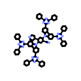 N#Cc1cc(-n2c3ccc(-c4nc(-c5ccccc5)nc(-c5ccccc5)n4)cc3c3cc(-c4nc(-c5ccccc5)nc(-c5ccccc5)n4)ccc32)c(-c2ccncc2)cc1-n1c2ccc(-c3nc(-c4ccccc4)nc(-c4ccccc4)n3)cc2c2cc(-c3nc(-c4ccccc4)nc(-c4ccccc4)n3)ccc21